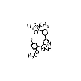 COc1ccc(F)cc1-c1n[nH]c2ncc(-c3cccc(C(=O)N(C)C)c3)cc12